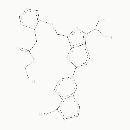 CCOC(=O)Cc1ccccc1OCc1nn(C(C)C)c2ccc(-c3ccc4c(N)nccc4c3)cc12